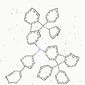 C1=CC(c2ccc(N(c3ccc4c(c3)C(c3ccccc3)(c3ccccc3)c3ccccc3-4)c3ccc4c(c3)C(c3ccccc3)(c3ccccc3)c3ccccc3-4)cc2)=CCC1